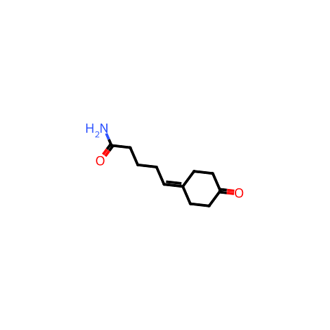 NC(=O)CCCC=C1CCC(=O)CC1